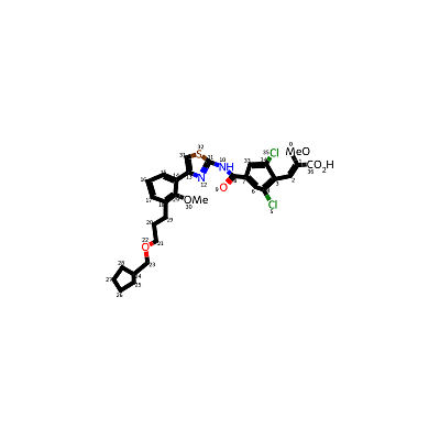 CO/C(=C\c1c(Cl)cc(C(=O)Nc2nc(-c3cccc(CCCOCC4CCCC4)c3OC)cs2)cc1Cl)C(=O)O